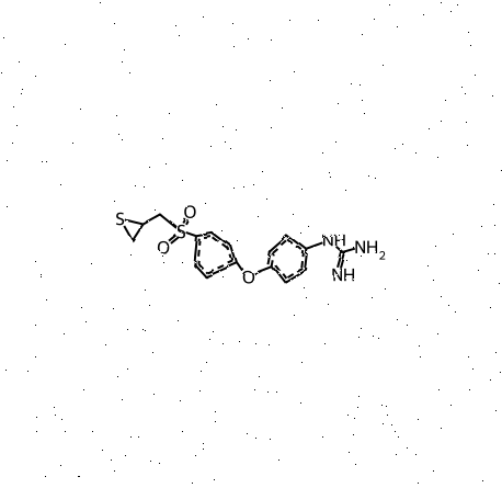 N=C(N)Nc1ccc(Oc2ccc(S(=O)(=O)CC3CS3)cc2)cc1